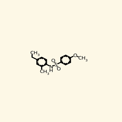 CCc1ccc(NS(=O)(=O)c2ccc(OC)cc2)c(C)c1